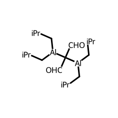 CC(C)[CH2][Al]([CH2]C(C)C)[C](C=O)(C=O)[Al]([CH2]C(C)C)[CH2]C(C)C